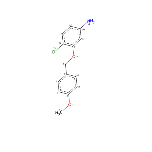 COc1ccc(COc2cc(N)ccc2Cl)cc1